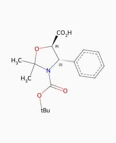 CC(C)(C)OC(=O)N1[C@@H](c2ccccc2)[C@H](C(=O)O)OC1(C)C